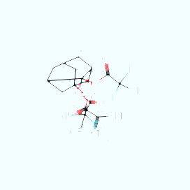 C=C(C)C(=O)OC12CC3CC(C1)C(OC(=O)C(F)(F)C(F)(F)F)(OC(=O)C(F)(F)C(F)(F)F)C(C3)C2